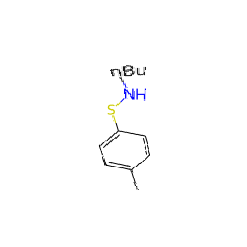 CCCCNSc1ccc(C)cc1